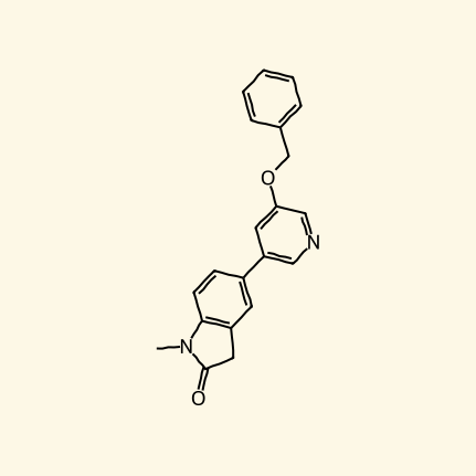 CN1C(=O)Cc2cc(-c3cncc(OCc4ccccc4)c3)ccc21